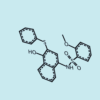 COc1ccccc1S(=O)(=O)Nc1cc(Sc2ccccc2)c(O)c2ccccc12